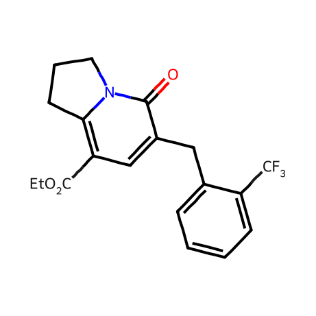 CCOC(=O)c1cc(Cc2ccccc2C(F)(F)F)c(=O)n2c1CCC2